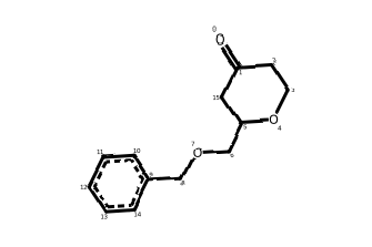 O=C1CCOC(COCc2ccccc2)C1